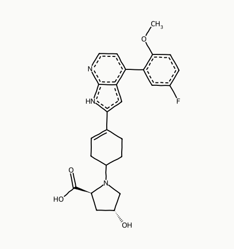 COc1ccc(F)cc1-c1ccnc2[nH]c(C3=CCC(N4C[C@H](O)C[C@H]4C(=O)O)CC3)cc12